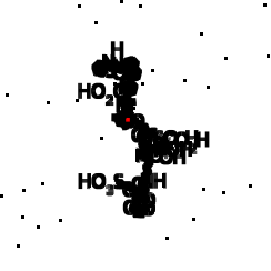 Cc1c(-c2ccc(-c3ccc4cccc(C(=O)Nc5nc6ccccc6s5)c4c3)nc2C(=O)O)cnn1CC12CC3(C)CC(C)(C1)CC(OCC[As](CCS(=O)(=O)O)C(=O)OCc1ccc(CCCCNC(=O)CN4C(=O)[C@@H](N5C(=O)C=CC5=O)C[C@H]4COCCS(=O)(=O)O)cc1O[C@@H]1O[C@H](C(=O)O)[C@@H](O)[C@H](O)[C@H]1O)(C3)C2